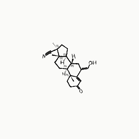 C[C@]12CCC(=O)C=C1C(=CO)C[C@@H]1[C@@H]2CC[C@@]2(C)[C@H]1CC[C@]2(C)C#N